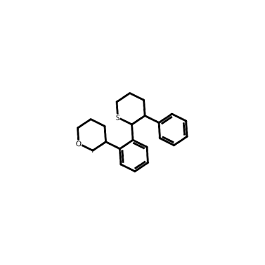 [CH]1OCCCC1c1ccccc1C1SCCCC1c1ccccc1